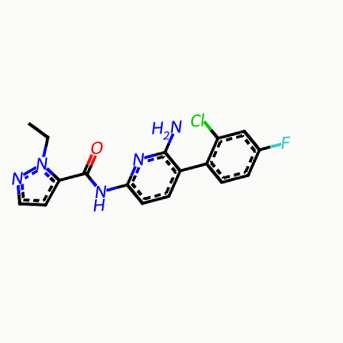 CCn1nccc1C(=O)Nc1ccc(-c2ccc(F)cc2Cl)c(N)n1